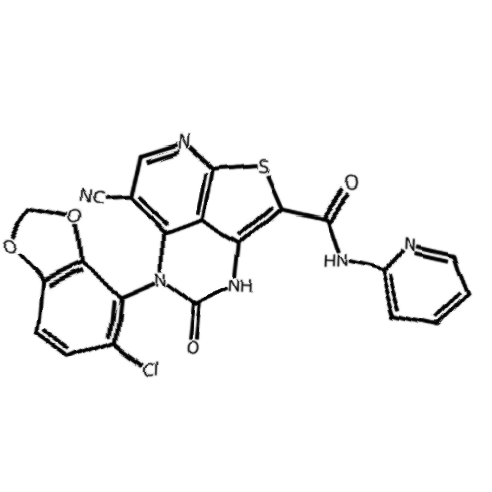 N#Cc1cnc2sc(C(=O)Nc3ccccn3)c3c2c1N(c1c(Cl)ccc2c1OCO2)C(=O)N3